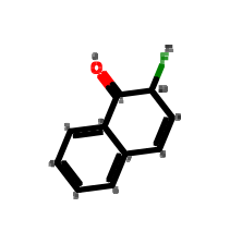 O=C1c2ccccc2C=CC1F